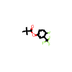 CC(C)(C)C(=O)Oc1ccc(F)c(C(F)(F)F)c1